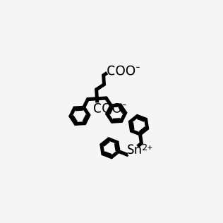 O=C([O-])CCCC(Cc1ccccc1)(Cc1ccccc1)C(=O)[O-].c1ccc([CH2][Sn+2][CH2]c2ccccc2)cc1